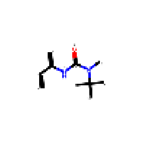 C=CC(=C)NC(=O)N(C)C(C)(C)C